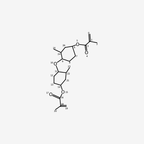 C=C(C)C(=O)OC1CCC(OC2CCC(OC(=O)C(=C)C)CC2C)C(C)C1